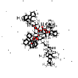 C=CCOC(=O)C[C@@H](NC(=O)OCC1c2ccccc2-c2ccccc21)C(=O)N[C@@H](Cc1cn(C(c2ccccc2)(c2ccccc2)c2ccccc2)cn1)C(=O)N[C@H](Cc1ccccc1)C(=O)N[C@@H](CCCNC(=N)NS(=O)(=O)c1c(C)c(C)c2c(c1C)CC(C)(C)O2)C(=O)N[C@@H](Cc1cn(C(=O)OC(C)(C)C)c2ccccc12)C(=O)N[C@@H](CCCCNC(=O)OCC=C)C(=O)OC